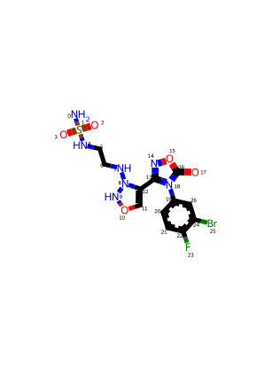 NS(=O)(=O)NCCNN1NOC=C1c1noc(=O)n1-c1ccc(F)c(Br)c1